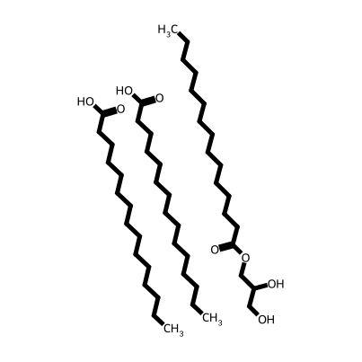 CCCCCCCCCCCCCCC(=O)O.CCCCCCCCCCCCCCC(=O)O.CCCCCCCCCCCCCCC(=O)OCC(O)CO